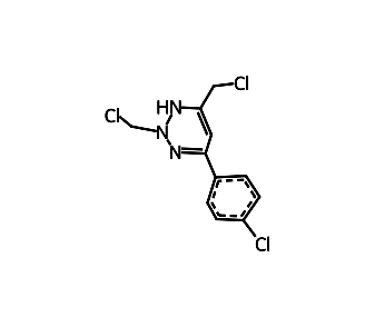 ClCC1=CC(c2ccc(Cl)cc2)=NN(CCl)N1